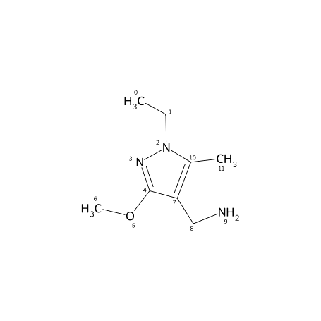 CCn1nc(OC)c(CN)c1C